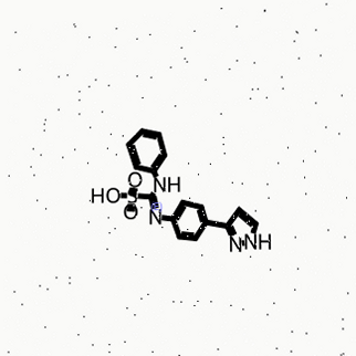 O=S(=O)(O)/C(=N/c1ccc(-c2cc[nH]n2)cc1)Nc1ccccc1